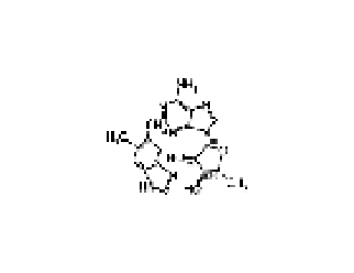 C[C@H]1O[C@@H](n2cnc3c(N)ncnc32)[C@H](O)[C@@H]1O.Cc1cc2nc[nH]c2cc1C